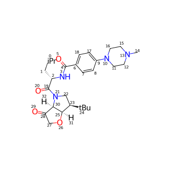 CC(C)C[C@H](NC(=O)c1ccc(N2CCN(C)CC2)cc1)C(=O)N1C[C@@H](C(C)(C)C)[C@H]2OCC(=O)[C@H]21